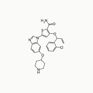 C=CC(Oc1cc(-n2cnc3ccc(OC4CCNCC4)cc32)sc1C(N)=O)c1ccccc1Cl